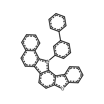 c1ccc(-c2cccc(-n3c4c5ccccc5ccc4c4ccc5oc6ccccc6c5c43)c2)cc1